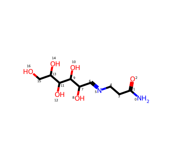 NC(=O)CC/N=C/C(O)C(O)C(O)C(O)CO